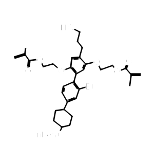 C=C(C)C(=O)OCCOc1cc(-c2ccc(C3CCC(CCCCC)CC3)cc2CC)c(OCCOC(=O)C(=C)C)cc1CCCO